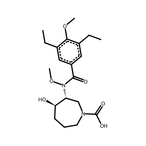 CCc1cc(C(=O)N(OC)[C@@H]2CN(C(=O)O)CCC[C@H]2O)cc(CC)c1OC